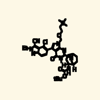 CCn1nc2ccc(-c3cn(COCC[Si](C)(C)C)c4nc(N5C[C@H]6CCC5CC[C@H]6NC(=O)OC(C)(C)C)n(C)c(=O)c34)c(Cl)c2c1C#N